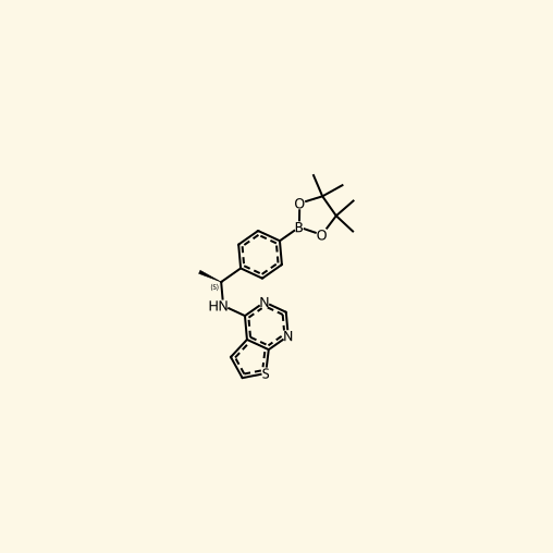 C[C@H](Nc1ncnc2sccc12)c1ccc(B2OC(C)(C)C(C)(C)O2)cc1